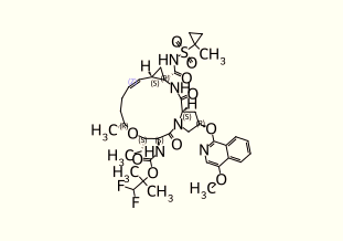 CC[C@@H]1O[C@H](C)CC/C=C\[C@@H]2C[C@@]2(C(=O)NS(=O)(=O)C2(C)CC2)NC(=O)[C@@H]2C[C@@H](Oc3ncc(OC)c4ccccc34)CN2C(=O)[C@H]1NC(=O)OC(C)(C)C(F)F